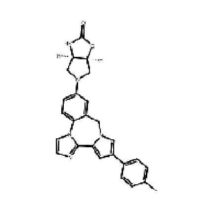 O=C1N[C@@H]2CN(c3ccc4c(c3)Cn3cc(-c5ccc(F)cc5)cc3-c3nccn3-4)C[C@@H]2O1